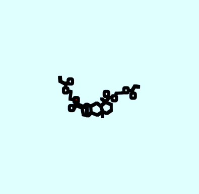 C=CC(=O)OCCOC(=O)C1CC2C=C(C(C)C)C1C1CC3C(C)(CCCC3(C)C(=O)OCCOC(=O)C=C)CC21